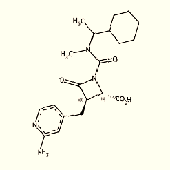 CC(C1CCCCC1)N(C)C(=O)N1C(=O)[C@H](Cc2ccnc(N)c2)[C@H]1C(=O)O